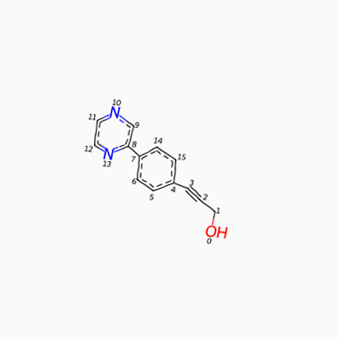 OCC#Cc1ccc(-c2cnccn2)cc1